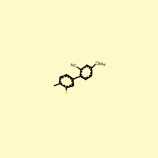 COc1ccc(-c2ccc(C)c(F)c2)c(C#N)c1